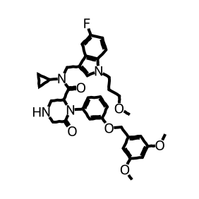 COCCCn1cc(CN(C(=O)C2CNCC(=O)N2c2cccc(OCc3cc(OC)cc(OC)c3)c2)C2CC2)c2cc(F)ccc21